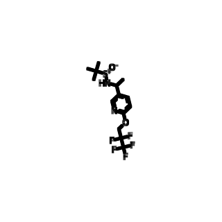 CC(N[S+]([O-])C(C)(C)C)c1ccc(OCC(F)(F)C(F)(F)F)nc1